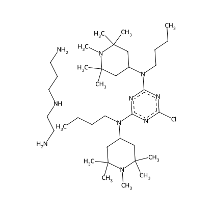 CCCCN(c1nc(Cl)nc(N(CCCC)C2CC(C)(C)N(C)C(C)(C)C2)n1)C1CC(C)(C)N(C)C(C)(C)C1.NCCCNCCN